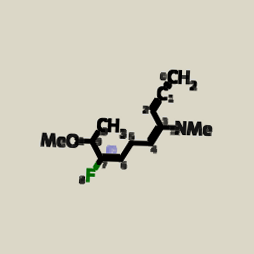 C=C=CC(=CC/C=C(/F)C(C)OC)NC